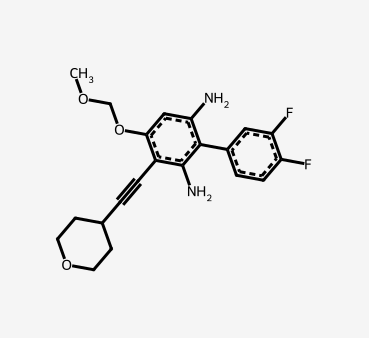 COCOc1cc(N)c(-c2ccc(F)c(F)c2)c(N)c1C#CC1CCOCC1